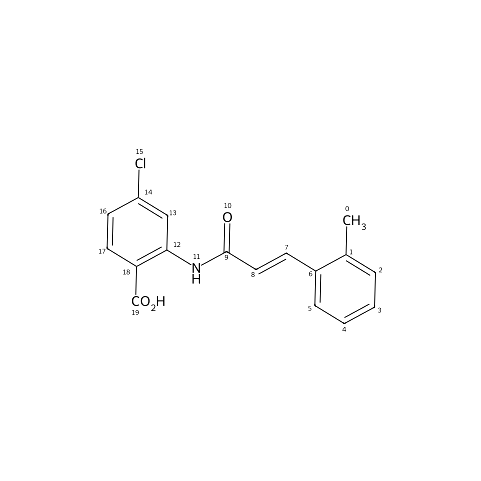 Cc1ccccc1/C=C/C(=O)Nc1cc(Cl)ccc1C(=O)O